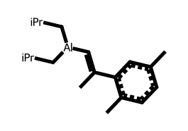 C/C(=[CH]\[Al]([CH2]C(C)C)[CH2]C(C)C)c1cc(C)ccc1C